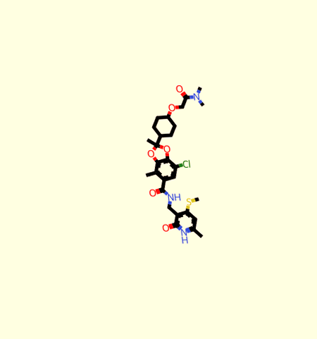 CSc1cc(C)[nH]c(=O)c1CNC(=O)c1cc(Cl)c2c(c1C)OC(C)(C1CCC(OCC(=O)N(C)C)CC1)O2